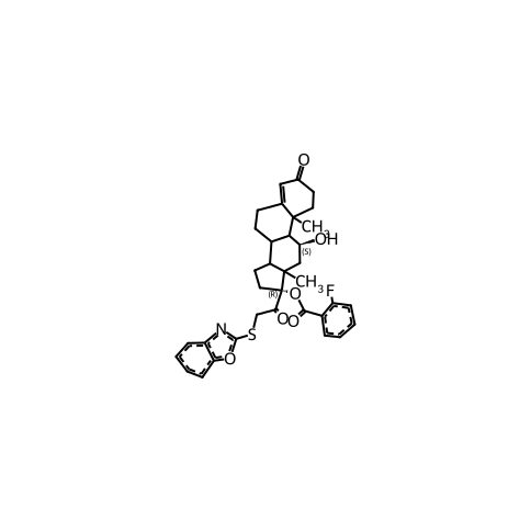 CC12CCC(=O)C=C1CCC1C2[C@@H](O)CC2(C)C1CC[C@]2(OC(=O)c1ccccc1F)C(=O)CSc1nc2ccccc2o1